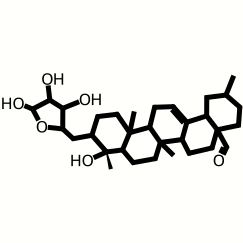 CC1CCC2(C=O)CCC3C(=CCC4C3(C)CCC3C4(C)CCC(CC4OC(O)C(O)C4O)[C@@]3(C)O)C2C1